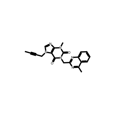 CC#CCn1cnc2c1c(=O)n(Cc1nc(C)c3ccccc3n1)c(=O)n2C